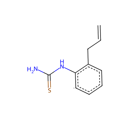 C=CCc1ccc[c]c1NC(N)=S